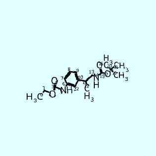 CCOC(=O)Nc1cccc(C(C)CNC(=O)OC(C)(C)C)c1